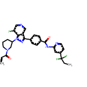 C=CC(=O)N1CCCC(n2nc(-c3ccc(C(=O)Nc4cc(C(F)(F)CC)ccn4)cc3)c3cncc(F)c32)C1